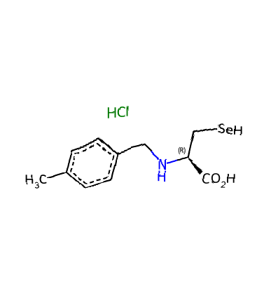 Cc1ccc(CN[C@@H](C[SeH])C(=O)O)cc1.Cl